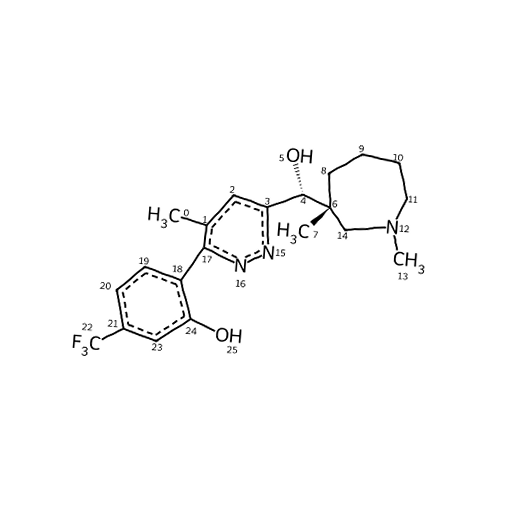 Cc1cc([C@H](O)[C@]2(C)CCCCN(C)C2)nnc1-c1ccc(C(F)(F)F)cc1O